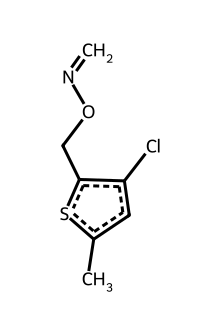 C=NOCc1sc(C)cc1Cl